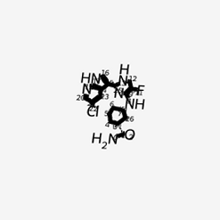 NC(=O)[C@@H]1CCC[C@H](NC2=C(F)CNC(c3c[nH]c4ncc(Cl)cc34)=N2)C1